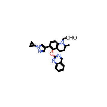 CC1CCc2c(ccc(-c3cnn(C4CC4)c3)c2Oc2ncc3ccccc3n2)N1CC=O